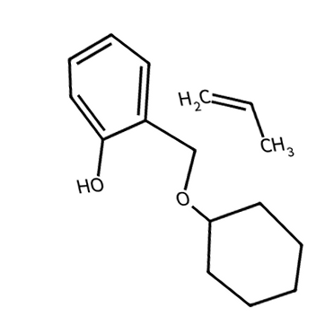 C=CC.Oc1ccccc1COC1CCCCC1